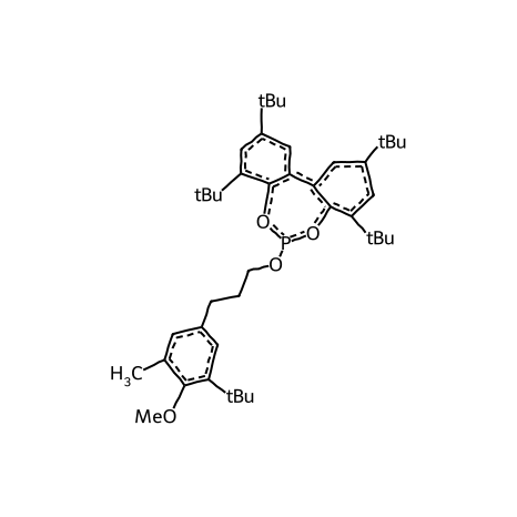 COc1c(C)cc(CCCOp2oc3c(C(C)(C)C)cc(C(C)(C)C)cc3c3cc(C(C)(C)C)cc(C(C)(C)C)c3o2)cc1C(C)(C)C